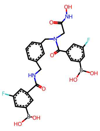 O=C(CN(Cc1cccc(CNC(=O)c2cc(F)cc(B(O)O)c2)c1)C(=O)c1cc(F)cc(B(O)O)c1)NO